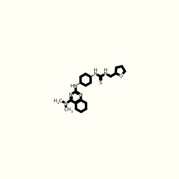 CN(C)c1nc(N[C@H]2CC[C@@H](NC(=S)NCC3CCCO3)CC2)nc2c1CCCC2